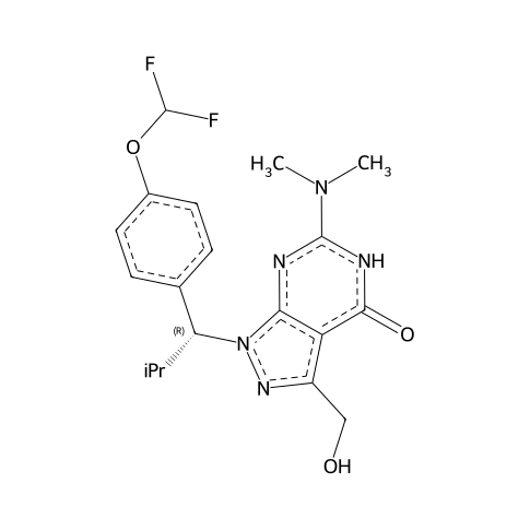 CC(C)[C@H](c1ccc(OC(F)F)cc1)n1nc(CO)c2c(=O)[nH]c(N(C)C)nc21